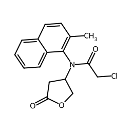 Cc1ccc2ccccc2c1N(C(=O)CCl)C1COC(=O)C1